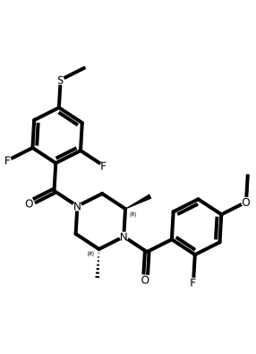 COc1ccc(C(=O)N2[C@H](C)CN(C(=O)c3c(F)cc(SC)cc3F)C[C@H]2C)c(F)c1